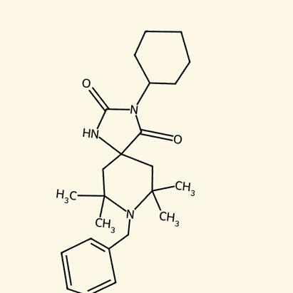 CC1(C)CC2(CC(C)(C)N1Cc1ccccc1)NC(=O)N(C1CCCCC1)C2=O